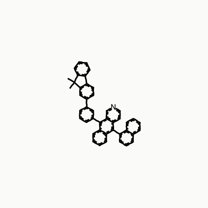 CC1(C)c2ccccc2-c2ccc(-c3cccc(-c4c5ccccc5c(-c5cccc6ccccc56)c5ccncc45)c3)cc21